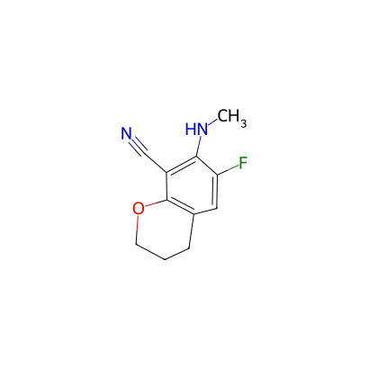 CNc1c(F)cc2c(c1C#N)OCCC2